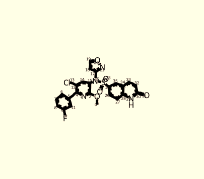 COc1nc(-c2cccc(F)c2)c(Cl)cc1N(c1ccon1)S(=O)(=O)c1ccc2[nH]c(=O)ccc2c1